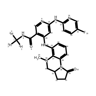 [2H]C([2H])([2H])NC(=O)c1cnc(Nc2ccc(F)cn2)cc1Nc1cccc2c1N(C)CC1CCC(=O)N21